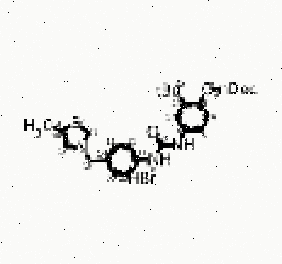 Br.CCCCCCCCCCOc1ccc(NC(=O)Nc2ccc(CN3C=C(C)SC3)cc2)cc1C(C)(C)C